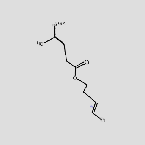 CC/C=C/CCOC(=O)CCC(O)CCCCCC